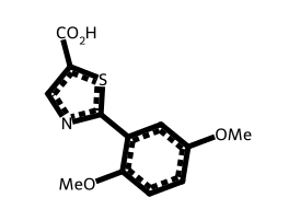 COc1ccc(OC)c(-c2ncc(C(=O)O)s2)c1